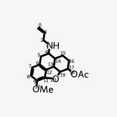 C=CCNC1Cc2ccc(OC)c3c2C2C1CCC(OC(C)=O)C2O3